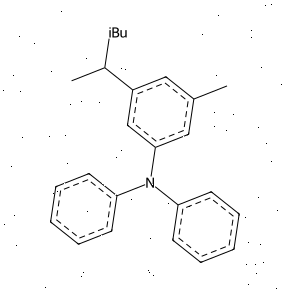 CCC(C)C(C)c1cc(C)cc(N(c2ccccc2)c2ccccc2)c1